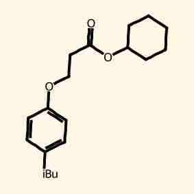 CCC(C)c1ccc(OCCC(=O)OC2CCCCC2)cc1